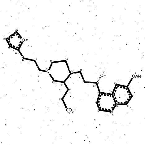 COc1ccc2nccc([C@@H](O)CCC3CCN(CCCc4ccco4)CC3CCC(=O)O)c2c1